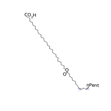 CCCCC/C=C\C/C=C\CCCCCCCC(=O)OCCCCCCCCCCCCCCCCCCCCCCCCCCCC(=O)O